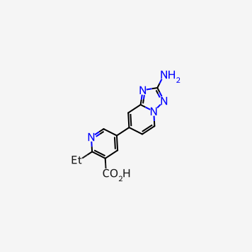 CCc1ncc(-c2ccn3nc(N)nc3c2)cc1C(=O)O